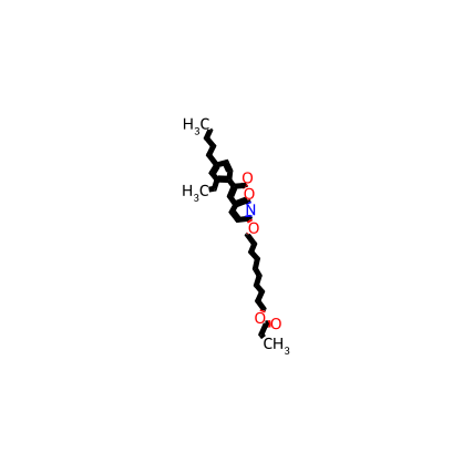 CCCCCc1ccc(-c2cc3ccc(OCCCCCCCCCCOC(=O)CC)nc3oc2=O)c(CC)c1